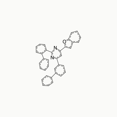 c1ccc(-c2cccc(-c3cc(-c4cc5ccccc5o4)nc(-c4ccccc4-c4ccccc4)n3)c2)cc1